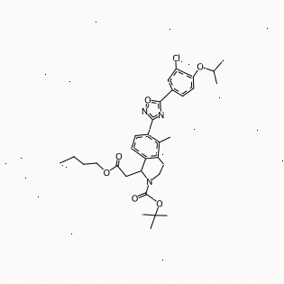 CCCCOC(=O)CC1c2ccc(-c3noc(-c4ccc(OC(C)C)c(Cl)c4)n3)c(C)c2CCN1C(=O)OC(C)(C)C